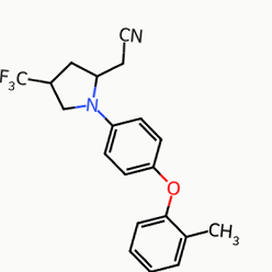 Cc1ccccc1Oc1ccc(N2CC(C(F)(F)F)CC2CC#N)cc1